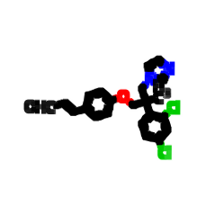 CC(COc1ccc(/C=C/C=O)cc1)(Cn1ccnc1)c1ccc(Cl)cc1Cl